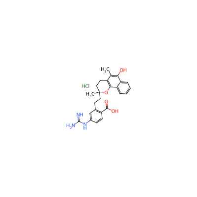 Cc1c2c(c3ccccc3c1O)OC(C)(CCc1cc(NC(=N)N)ccc1C(=O)O)CC2.Cl